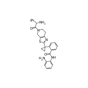 CC(C)C(N)C(=O)N1CCc2nc(C3(c4ccccc4C(=O)Nc4ccccc4N)CC3)sc2C1